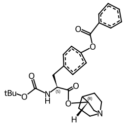 CC(C)(C)OC(=O)N[C@@H](Cc1ccc(OC(=O)c2ccccc2)cc1)C(=O)O[C@H]1CN2CCC1CC2